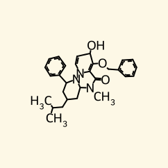 CC(C)CC1CC(c2ccccc2)N2C(C1)N(C)C(=O)C1=C(OCc3ccccc3)C(O)C=CN12